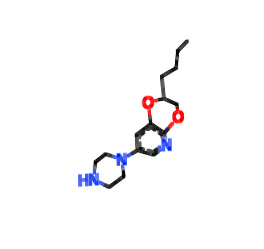 CCCCC1COc2ncc(N3CCNCC3)cc2O1